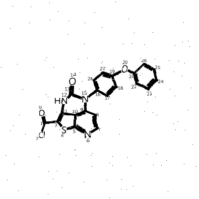 O=C(Cl)c1sc2nccc3c2c1NC(=O)N3c1ccc(Oc2ccccc2)cc1